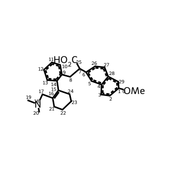 COc1ccc2cc(C(Cc3ccccc3C3=C(CN(C)C)CCCC3)C(=O)O)ccc2c1